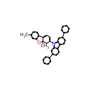 Cc1ccc2c(c1)OC1(C)CC(n3c4cc(-c5ccccc5)ccc4c4ccc(-c5ccccc5)cc43)=CC=C21